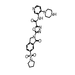 O=C(Nc1cnccc1N1CCNCC1)c1nnc(N2Cc3ccc(S(=O)(=O)N4CCCC4)cc3C2=O)o1